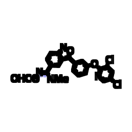 CN/C(=N\OC=O)c1ccc2noc(-c3cccc(Oc4ncc(Cl)cc4Cl)c3)c2c1